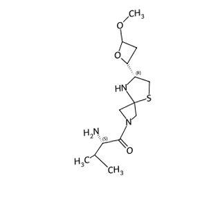 COC1CC([C@@H]2CSC3(CN(C(=O)[C@@H](N)C(C)C)C3)N2)O1